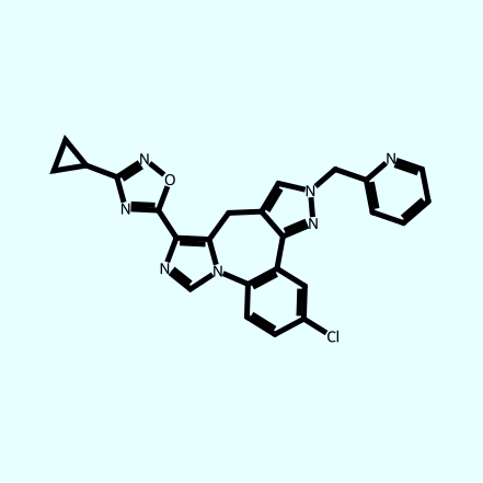 Clc1ccc2c(c1)-c1nn(Cc3ccccn3)cc1Cc1c(-c3nc(C4CC4)no3)ncn1-2